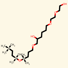 C[Si](C)(C)CC[Si](C)(C)O[Si](C)(C)CCCOCC(O)CCCCOCCOCCO